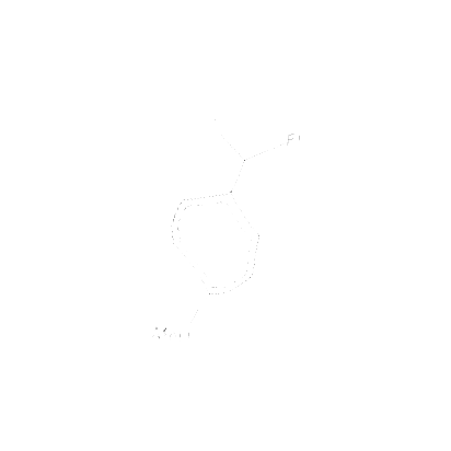 CCC([O])c1ccc(OC)cc1